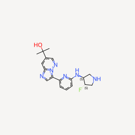 CC(C)(O)c1cnn2c(-c3cccc(N[C@H]4CNC[C@@H]4F)n3)cnc2c1